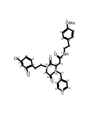 COc1ccc(CCNC(=O)CC2C(=O)N(CCc3ccc(Cl)cc3Cl)CC(=O)N2Cc2ccncc2)cc1